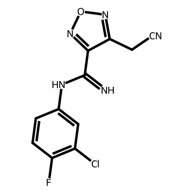 N#CCc1nonc1C(=N)Nc1ccc(F)c(Cl)c1